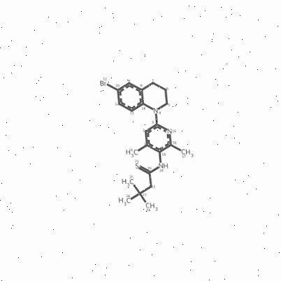 Cc1cc(N2CCCc3cc(Br)ccc32)nc(C)c1NC(=S)CC(C)(C)C